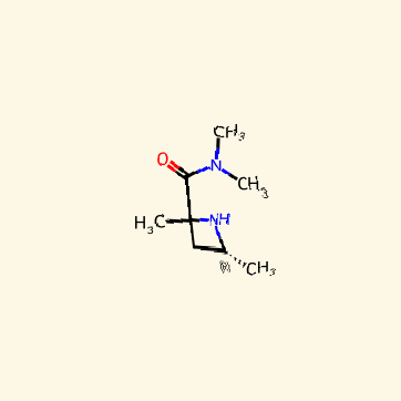 C[C@@H]1CC(C)(C(=O)N(C)C)N1